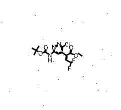 CCOC(=O)C(=CC(F)F)c1cc(NC(=O)OC(C)(C)C)nnc1Cl